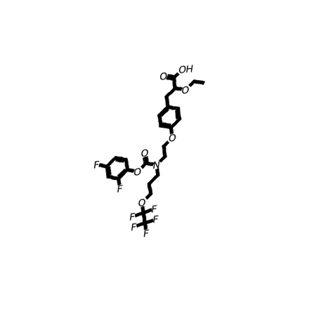 CCOC(Cc1ccc(OCCN(CCCOC(F)(F)C(F)(F)F)C(=O)Oc2ccc(F)cc2F)cc1)C(=O)O